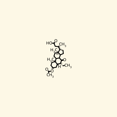 CC[C@H]1C(=O)C2C3CC[C@H]([C@H](C)CC(=O)O)[C@@]3(C)CCC2[C@@]2(C)CC[C@@H](OC(C)=O)C[C@@H]12